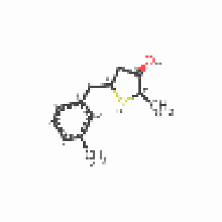 Cc1cccc(CC2CC(=O)C(C)S2)c1